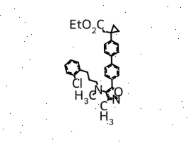 CCOC(=O)CC1(c2ccc(-c3ccc(-c4onc(C)c4N(C)CCCc4ccccc4Cl)cc3)cc2)CC1